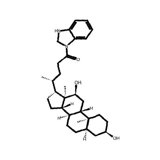 C[C@H](CCC(=O)N1CNc2ccccc21)[C@H]1CC[C@H]2[C@@H]3CC[C@@H]4C[C@H](O)CC[C@]4(C)[C@H]3C[C@H](O)[C@]12C